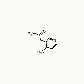 NC(=O)Cc1cnccc1N